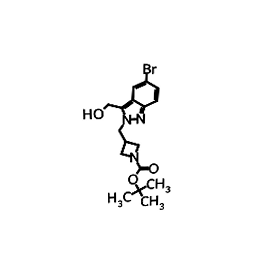 CC(C)(C)OC(=O)N1CC(Cn2nc3ccc(Br)cc3c2CO)C1